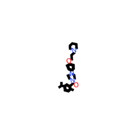 Cc1ccc(C(C)C)cc1C(=O)N1CCN(c2ccc(OCCCN3CCCCC3)cc2)CC1